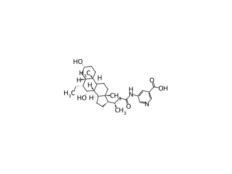 CC[C@H]1[C@@H](O)[C@@H]2[C@H](CC[C@]3(C)[C@@H]([C@H](C)CC(=O)Nc4cncc(C(=O)O)c4)CC[C@@H]23)[C@@]2(C)CC[C@@H](O)C[C@@H]12